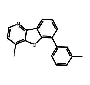 Cc1cccc(-c2cccc3c2oc2c(I)ccnc23)c1